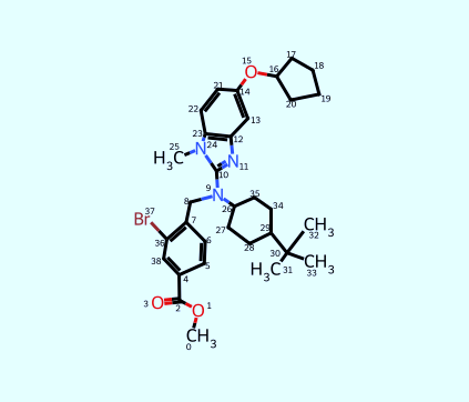 COC(=O)c1ccc(CN(c2nc3cc(OC4CCCC4)ccc3n2C)C2CCC(C(C)(C)C)CC2)c(Br)c1